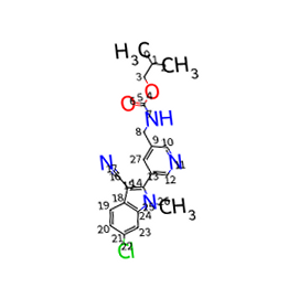 CC(C)COC(=O)NCc1cncc(-c2c(C#N)c3ccc(Cl)cc3n2C)c1